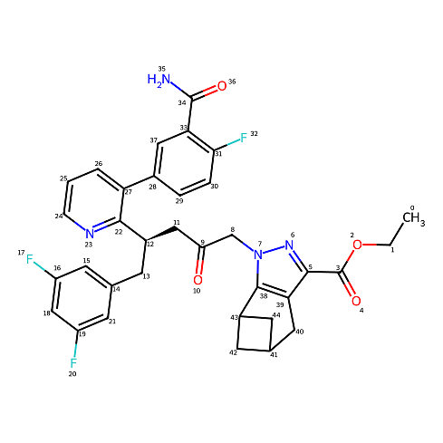 CCOC(=O)c1nn(CC(=O)C[C@@H](Cc2cc(F)cc(F)c2)c2ncccc2-c2ccc(F)c(C(N)=O)c2)c2c1CC1CC2C1